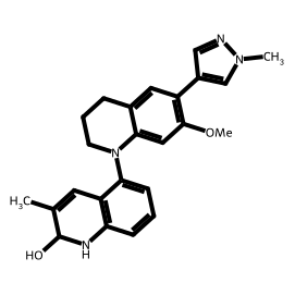 COc1cc2c(cc1-c1cnn(C)c1)CCCN2c1cccc2c1C=C(C)C(O)N2